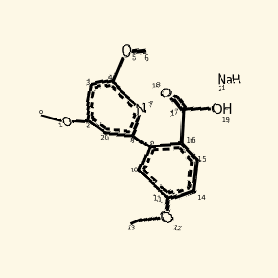 COc1cc(OC)nc(-c2cc(OC)ccc2C(=O)O)c1.[NaH]